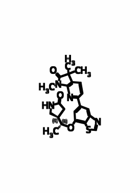 C[C@@H](Oc1cc(-c2ccc3c(n2)N(C)C(=O)C3(C)C)cc2ncsc12)[C@H]1CNC(=O)C1